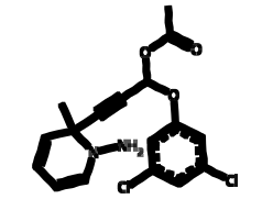 CC(=O)OC(C#CC1(C)C=CC=CN1N)Oc1cc(Cl)cc(Cl)c1